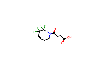 O=C(O)CCC(=O)N1CC/C=C\C(F)(F)C(F)(F)C1